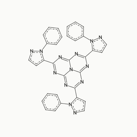 c1ccc(-n2nccc2C2=NC3=NC(c4ccnn4-c4ccccc4)=NC4=NC(c5ccnn5-c5ccccc5)=NC(=N2)N34)cc1